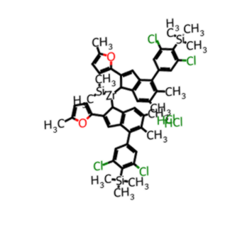 Cc1ccc(C2=Cc3c(cc(C)c(C)c3-c3cc(Cl)c([Si](C)(C)C)c(Cl)c3)[CH]2[Zr]([CH]2C(c3ccc(C)o3)=Cc3c2cc(C)c(C)c3-c2cc(Cl)c([Si](C)(C)C)c(Cl)c2)=[Si](C)C)o1.Cl.Cl